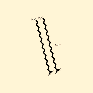 CCCCCCCCCCCCCCCCCCCC(=O)[O-].CCCCCCCCCCCCCCCCCCCC(=O)[O-].[Cu+2]